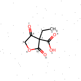 CCC1(C(=O)O)C(=O)COC1=O